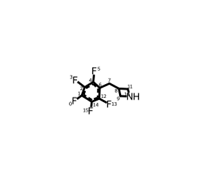 Fc1c(F)c(F)c(CC2CNC2)c(F)c1F